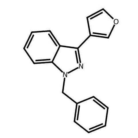 c1ccc(Cn2nc(-c3ccoc3)c3ccccc32)cc1